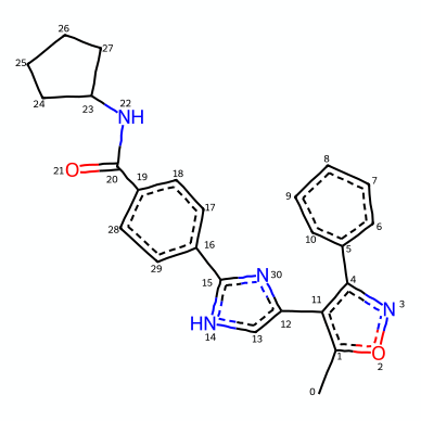 Cc1onc(-c2ccccc2)c1-c1c[nH]c(-c2ccc(C(=O)NC3CCCC3)cc2)n1